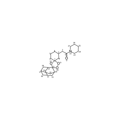 O=C(CC1CCCC2(C1)OOC1(O2)C2CC3CC(C2)CC1C3)N1CCCCC1